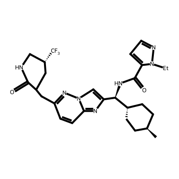 CCn1nccc1C(=O)N[C@H](c1cn2nc(CC3C[C@@H](C(F)(F)F)CNC3=O)ccc2n1)[C@H]1CC[C@H](C)CC1